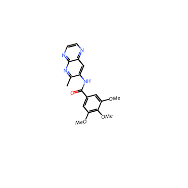 COc1cc(C(=O)Nc2cc3nccnc3nc2C)cc(OC)c1OC